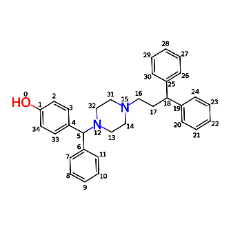 Oc1ccc(C(c2ccccc2)N2CCN(CCC(c3ccccc3)c3ccccc3)CC2)cc1